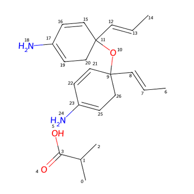 CC(C)C(=O)O.CC=CC1(OC2(C=CC)C=CC(N)=CC2)C=CC(N)=CC1